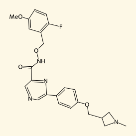 COc1ccc(F)c(CONC(=O)c2cncc(-c3ccc(OCC4CN(C)C4)cc3)n2)c1